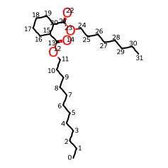 CCCCCCCCCCCCOC(=O)C1CCCCC1C(=O)OCCCCCCCC